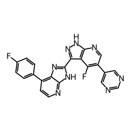 Fc1ccc(-c2ccnc3[nH]c(-c4n[nH]c5ncc(-c6cncnc6)c(F)c45)nc23)cc1